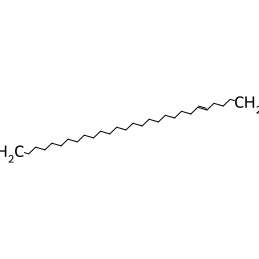 [CH2]CCC/C=C/CCCCCCCCCCCCCCCCCCCCC[CH2]